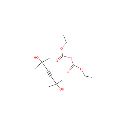 CC(C)(O)C#CC(C)(C)O.CCOC(=O)OC(=O)OCC